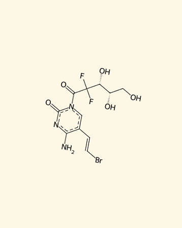 Nc1nc(=O)n(C(=O)C(F)(F)[C@H](O)[C@@H](O)CO)cc1/C=C/Br